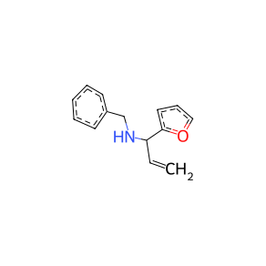 C=CC(NCc1ccccc1)c1ccco1